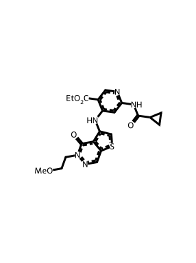 CCOC(=O)c1cnc(NC(=O)C2CC2)cc1Nc1csc2cnn(CCOC)c(=O)c12